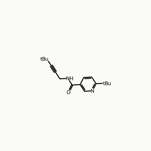 CC(C)(C)C#CCNC(=O)c1ccc(C(C)(C)C)nc1